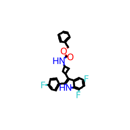 O=C(NC1CC(c2c(-c3ccc(F)cc3)[nH]c3c(F)cc(F)cc23)C1)OCc1ccccc1